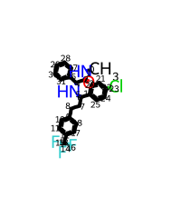 CNC(=O)C(NC(CCc1ccc(C(F)(F)F)cc1)c1ccc(Cl)cc1)c1ccccc1